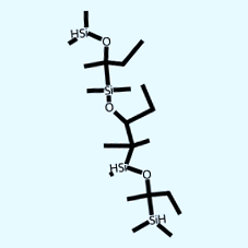 CCC(O[Si](C)(C)C(C)(CC)O[SiH](C)C)C(C)(C)[SiH](C)OC(C)(CC)[SiH](C)C